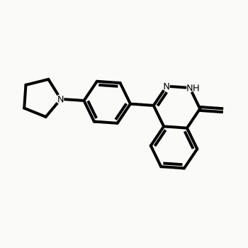 C=C1NN=C(c2ccc(N3CCCC3)cc2)c2ccccc21